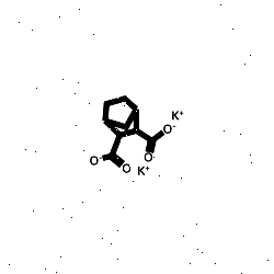 O=C([O-])C1C2CCC(C2)C1C(=O)[O-].[K+].[K+]